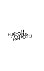 NC1=C[C@](CF)(c2cc(Nc3nccc4cc(Cl)cnc34)ccc2Cl)[C@H]2C[C@H]2C1